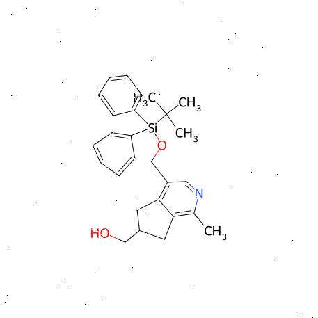 Cc1ncc(CO[Si](c2ccccc2)(c2ccccc2)C(C)(C)C)c2c1CC(CO)C2